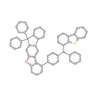 c1ccc(N(c2ccc(-c3cccc4oc5cc6c(cc5c34)-c3ccccc3C6(c3ccccc3)c3ccccc3)cc2)c2cccc3c2sc2ccccc23)cc1